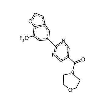 O=C(c1cnc(-c2cc(C(F)(F)F)c3occc3c2)nc1)N1CCOCC1